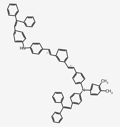 Cc1ccc(N(c2ccc(C=C(c3ccccc3)c3ccccc3)cc2)c2ccc(/C=C/c3cccc(/C=C/c4ccc(Nc5ccc(C=C(c6ccccc6)c6ccccc6)cc5)cc4)c3)cc2)cc1C